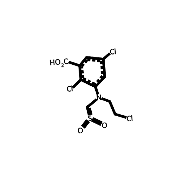 O=C(O)c1cc(Cl)cc(N(C=S(=O)=O)CCCl)c1Cl